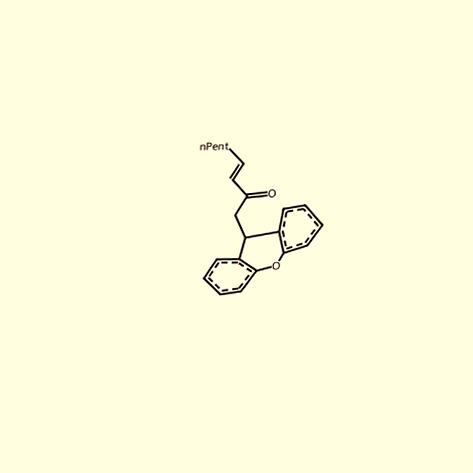 CCCCCC=CC(=O)CC1c2ccccc2Oc2ccccc21